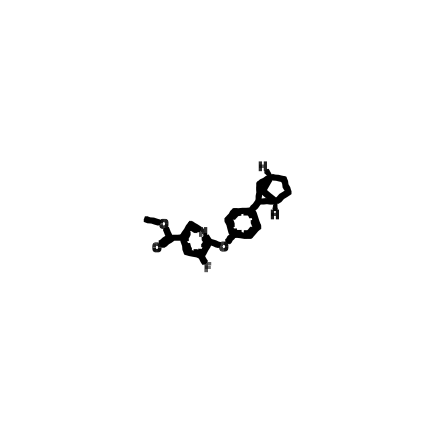 COC(=O)c1cnc(Oc2ccc(C3C[C@@H]4CC[C@H]3C4)cc2)c(F)c1